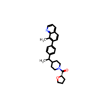 Cc1c(-c2ccc(C(C)C3CCN(C(=O)[C@H]4CCCO4)CC3)cc2)ccc2cccnc12